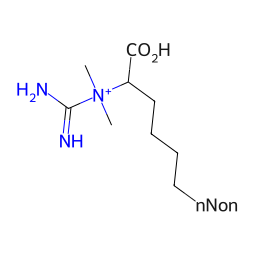 CCCCCCCCCCCCCC(C(=O)O)[N+](C)(C)C(=N)N